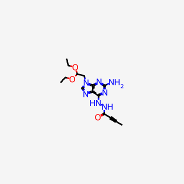 CC#CC(=O)NNc1nc(N)nc2c1ncn2CC(OCC)OCC